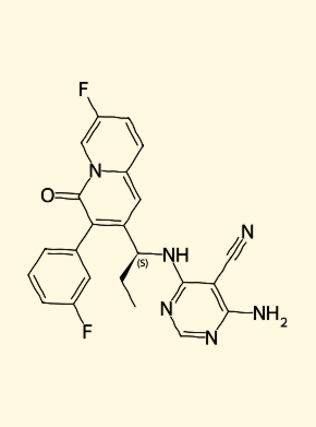 CC[C@H](Nc1ncnc(N)c1C#N)c1cc2ccc(F)cn2c(=O)c1-c1cccc(F)c1